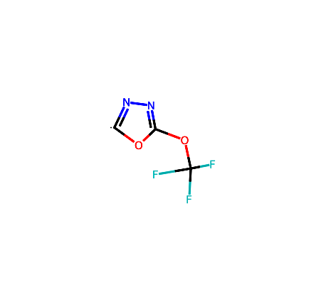 FC(F)(F)Oc1nn[c]o1